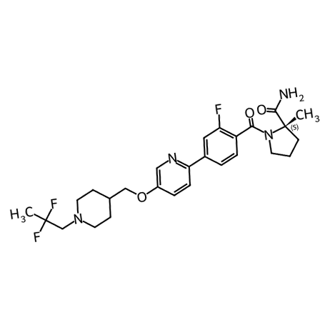 CC(F)(F)CN1CCC(COc2ccc(-c3ccc(C(=O)N4CCC[C@@]4(C)C(N)=O)c(F)c3)nc2)CC1